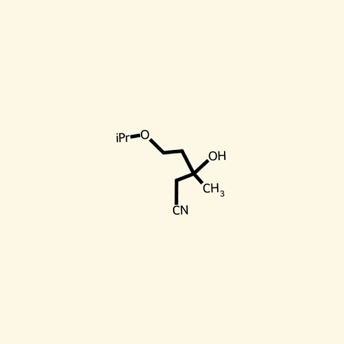 CC(C)OCCC(C)(O)CC#N